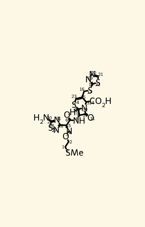 CSCCON=C(C(=O)NC1C(=O)N2C(C(=O)O)C(CSc3nncs3)=CS[C@@H]12)c1nsc(N)n1